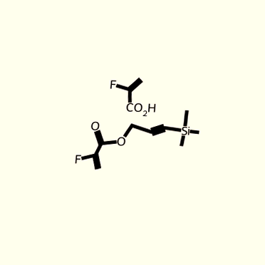 C=C(F)C(=O)O.C=C(F)C(=O)OCC#C[Si](C)(C)C